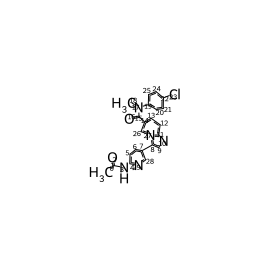 CC(=O)Nc1ccc(-c2cnc3ccc(C(=O)N(C)c4ccc(Cl)cc4)cn23)cn1